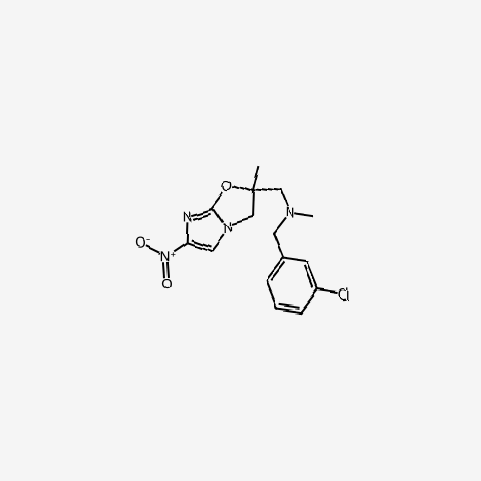 CN(Cc1cccc(Cl)c1)CC1(C)Cn2cc([N+](=O)[O-])nc2O1